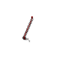 NOS(=O)(=O)OCCOCCOCCOCCOCCOCCOCCOCCOCCOCCOCCOCCOCCOc1ccccc1